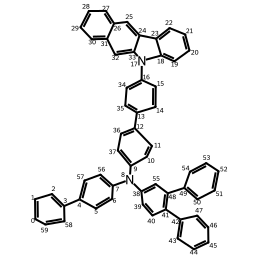 c1ccc(-c2ccc(N(c3ccc(-c4ccc(-n5c6ccccc6c6cc7ccccc7cc65)cc4)cc3)c3ccc(-c4ccccc4)c(-c4ccccc4)c3)cc2)cc1